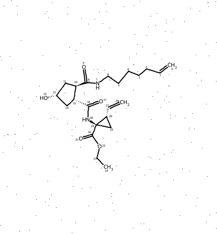 C=CCCCCCNC(=O)[C@@H]1C[C@@H](O)C[C@H]1C(=O)N[C@]1(C(=O)OCC)C[C@H]1C=C